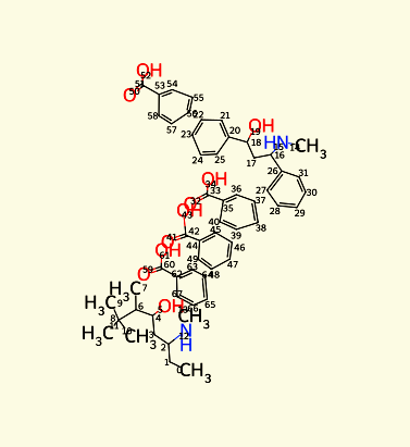 CCC(CC(O)C(C)C(C)(C)C)NC.CNC(CC(O)c1ccccc1)c1ccccc1.O=C(O)c1ccccc1.O=C(O)c1ccccc1.O=C(O)c1ccccc1.O=C(O)c1ccccc1